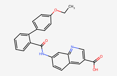 CCOc1ccc(-c2ccccc2C(=O)Nc2ccc3cc(C(=O)O)cnc3c2)cc1